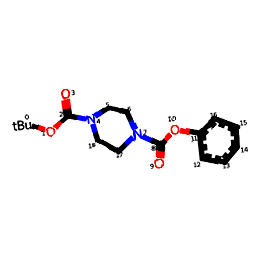 CC(C)(C)OC(=O)N1CCN(C(=O)Oc2ccccc2)CC1